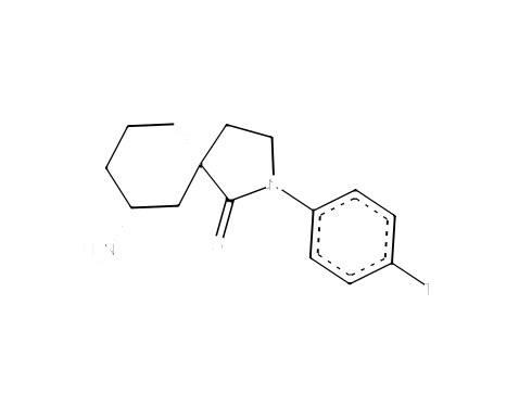 N[C@@H]1CCC[C@@]2(CCN(c3ccc(F)cc3)C2=O)C1